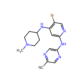 CN1CCC(Nc2cc(Nc3cnc(C#N)cn3)ncc2Br)CC1